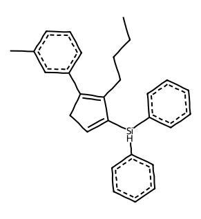 CCCCC1=C(c2cccc(C)c2)CC=C1[SiH](c1ccccc1)c1ccccc1